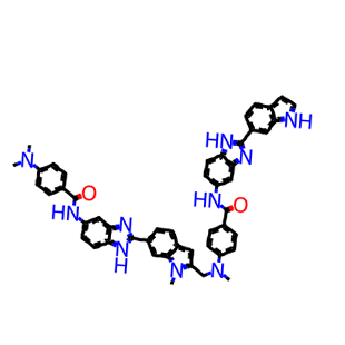 CN(C)c1ccc(C(=O)Nc2ccc3[nH]c(-c4ccc5cc(CN(C)c6ccc(C(=O)Nc7ccc8[nH]c(-c9ccc%10cc[nH]c%10c9)nc8c7)cc6)n(C)c5c4)nc3c2)cc1